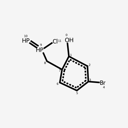 Oc1cc(Br)ccc1C[PH](=P)Cl